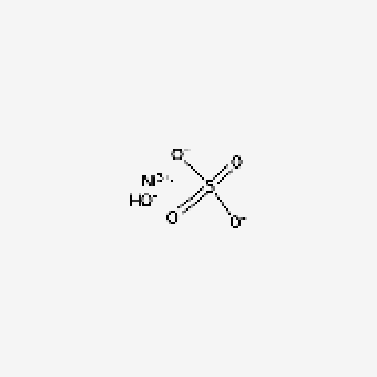 O=S(=O)([O-])[O-].[Ni+3].[OH-]